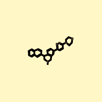 CN1Cc2cc(-c3ccc(N4CCOCC4)nn3)ccc2C(c2ccc3ccccc3c2)C1